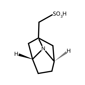 CN1[C@@H]2CC[C@@H]1CC(CS(=O)(=O)O)C2